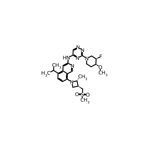 CO[C@H]1CCN(c2nncc(Nc3cc4c(C(C)C)ccc(N5C[C@H](CS(C)(=O)=O)[C@H]5C)c4cn3)n2)C[C@H]1F